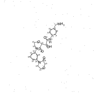 NCc1ccc(NC(=O)C(O)C2OCCN(c3cccc(N4CCOCC4=O)c3)C2=O)cc1